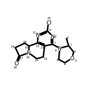 CC1COCCN1c1nc(Cl)nc2c1CCN1C(=O)CCC21